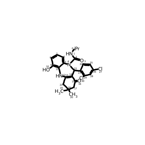 CC(C)NC(=O)N1c2cccc(O)c2NC2=C(C(=O)CC(C)(C)C2)C1c1ccc(Cl)cc1Cl